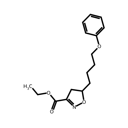 CCOC(=O)C1=NOC(CCCCOc2ccccc2)C1